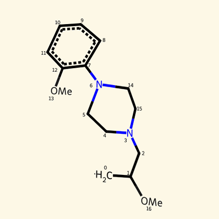 [CH2]C(CN1CCN(c2ccccc2OC)CC1)OC